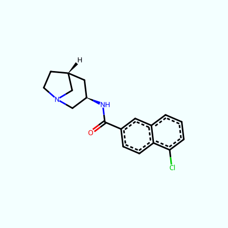 O=C(N[C@@H]1C[C@H]2CCN(C2)C1)c1ccc2c(Cl)cccc2c1